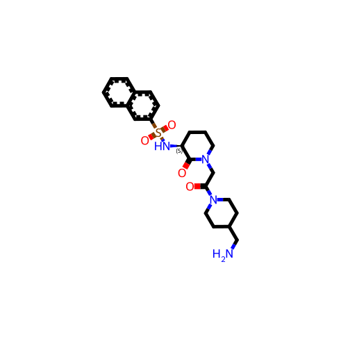 NCC1CCN(C(=O)CN2CCC[C@H](NS(=O)(=O)c3ccc4ccccc4c3)C2=O)CC1